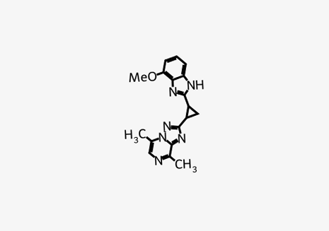 COc1cccc2[nH]c(C3CC3c3nc4c(C)ncc(C)n4n3)nc12